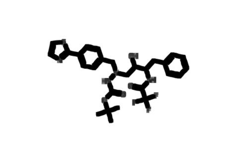 CC(C)(C)OC(=O)NN(Cc1ccc(-c2nccs2)cc1)CC(O)C(Cc1ccccc1)NC(=O)C(F)(F)F